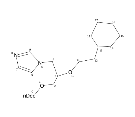 CCCCCCCCCCOCC(Cn1ccnc1)OCCC1CCCCC1